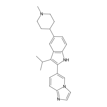 CC(C)c1c(-c2ccc3nccn3c2)[nH]c2ccc(C3CCN(C)CC3)cc12